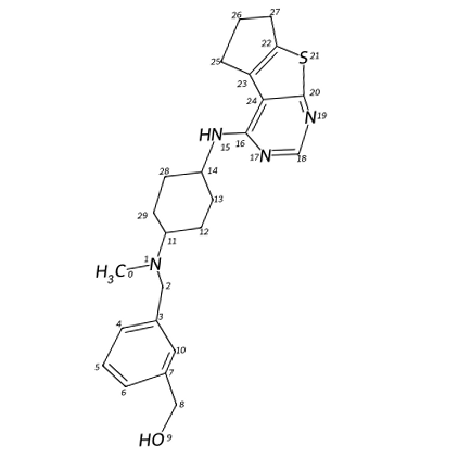 CN(Cc1cccc(CO)c1)C1CCC(Nc2ncnc3sc4c(c23)CCC4)CC1